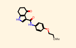 COCCOc1ccc(NC(=O)c2c[nH]c3c2C(=O)CCC3)cc1